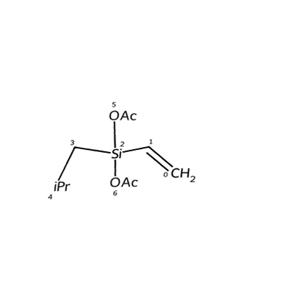 C=C[Si](CC(C)C)(OC(C)=O)OC(C)=O